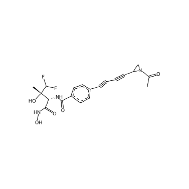 CC(=O)N1CC1C#CC#Cc1ccc(C(=O)N[C@H](C(=O)NO)[C@](C)(O)C(F)F)cc1